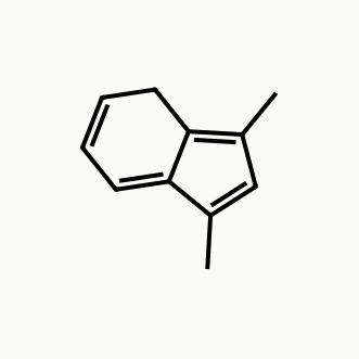 CC1=CC(C)=C2CC=CC=C12